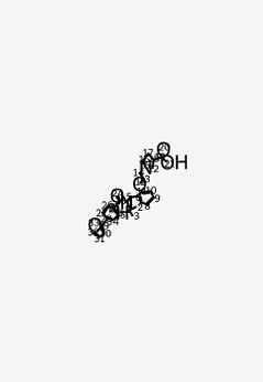 [2H]C(C)(C)N(Cc1ccccc1OCCN1CCC(C(=O)O)C1)C(=O)c1ccc(-c2ccco2)cc1